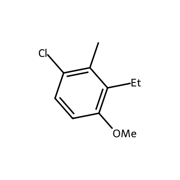 CCc1c(OC)ccc(Cl)c1C